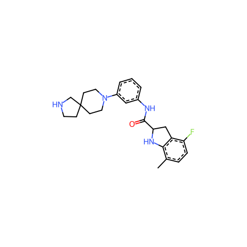 Cc1ccc(F)c2c1NC(C(=O)Nc1cccc(N3CCC4(CCNC4)CC3)c1)C2